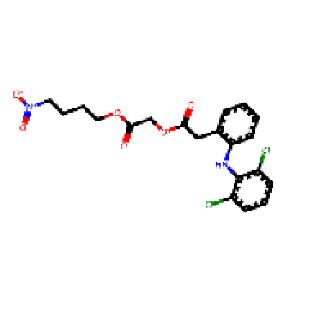 O=C(COC(=O)Cc1ccccc1Nc1c(Cl)cccc1Cl)OCCCC[N+](=O)[O-]